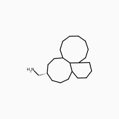 NC[C@H]1CCCC2CCCCC3CCCCCCCC(CC1)C32